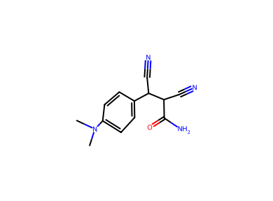 CN(C)c1ccc(C(C#N)C(C#N)C(N)=O)cc1